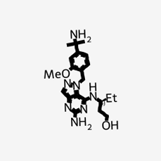 CC[C@@H](CCO)Nc1nc(N)nc2cnn(Cc3ccc(C(C)(C)N)cc3OC)c12